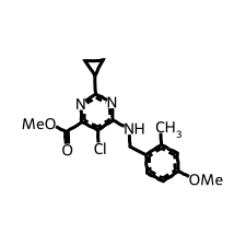 COC(=O)c1nc(C2CC2)nc(NCc2ccc(OC)cc2C)c1Cl